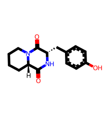 O=C1N[C@@H](Cc2ccc(O)cc2)C(=O)N2CCCC[C@@H]12